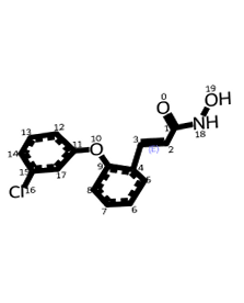 O=C(/C=C/c1ccccc1Oc1cccc(Cl)c1)NO